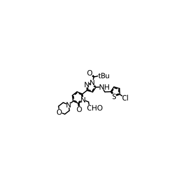 CC(C)(C)C(=O)n1nc(-c2ccc(N3CCOCC3)c(=O)n2CC=O)cc1NCc1ccc(Cl)s1